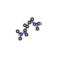 c1ccc(-c2cc(-n3c4ccccc4c4cc(-c5ccc(-c6ccc7c8ccccc8n(-c8ccc9c(c8)c8ccncc8n9-c8ccccc8)c7c6)c6ccccc56)ccc43)cc(-c3ccccc3)n2)cc1